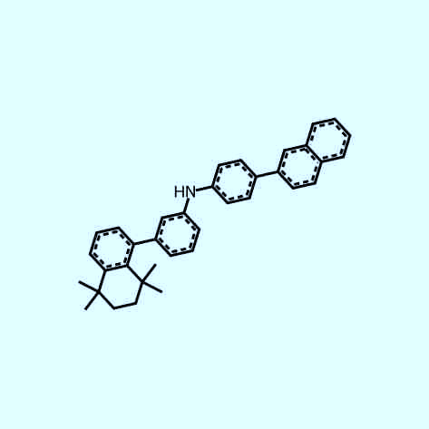 CC1(C)CCC(C)(C)c2c(-c3cccc(Nc4ccc(-c5ccc6ccccc6c5)cc4)c3)cccc21